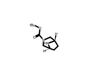 CC(C)(C)OC(=O)N1C[C@@H]2CC[C@@H](C1)N2